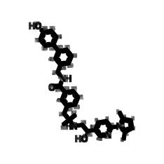 Cc1ccc(C)n1-c1ccc([C@H](O)CNC(C)(C)Cc2cccc(C(=O)NCc3cccc(-c4ccc(O)cc4)c3)c2)cn1